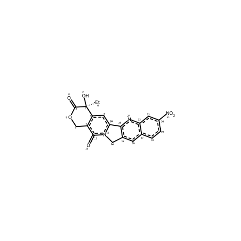 CC[C@@]1(O)C(=O)OCc2c1cc1n(c2=O)Cc2cc3ccc([N+](=O)[O-])cc3nc2-1